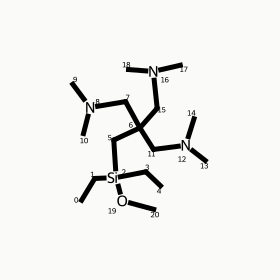 CC[Si](CC)(CC(CN(C)C)(CN(C)C)CN(C)C)OC